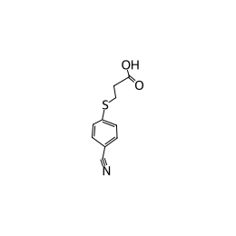 N#Cc1ccc(SCCC(=O)O)cc1